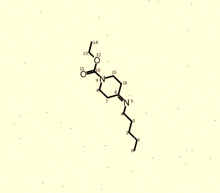 CCCCCN=C1CCN(C(=O)OCC)CC1